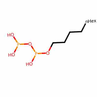 CCCCCCCCCCOP(O)OP(O)O